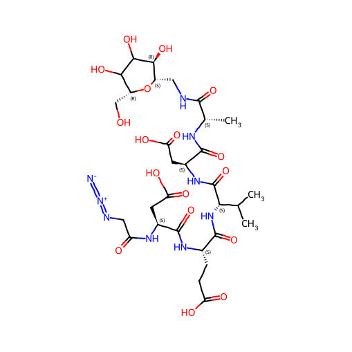 CC(C)[C@H](NC(=O)[C@H](CCC(=O)O)NC(=O)[C@H](CC(=O)O)NC(=O)CN=[N+]=[N-])C(=O)N[C@@H](CC(=O)O)C(=O)N[C@@H](C)C(=O)NC[C@@H]1O[C@H](CO)C(O)C(O)[C@H]1O